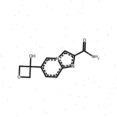 NC(=O)c1cn2cc(C3(O)COC3)ccc2n1